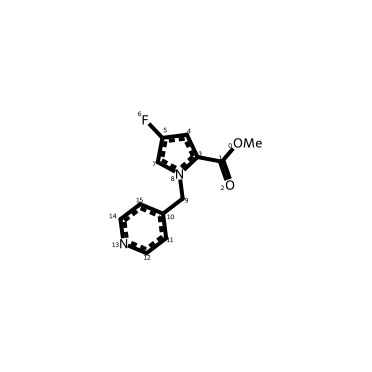 COC(=O)c1cc(F)cn1Cc1ccncc1